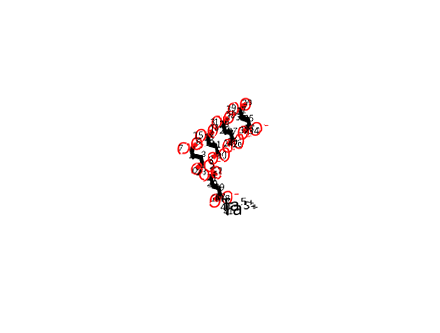 O=C([O-])C=CC(=O)[O-].O=C([O-])C=CC(=O)[O-].O=C([O-])C=CC(=O)[O-].O=C([O-])C=CC(=O)[O-].O=C([O-])C=CC(=O)[O-].[Ta+5].[Ta+5]